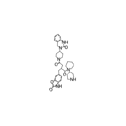 O=C(CC(Cc1ccc2[nH]c(=O)oc2c1)C(=O)[N+]1(C2CCNCC2)CCCCC1)N1CCC(N2Cc3ccccc3NC2=O)CC1